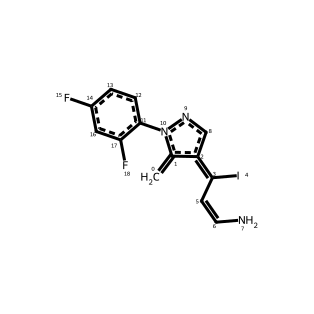 C=c1/c(=C(I)\C=C/N)cnn1-c1ccc(F)cc1F